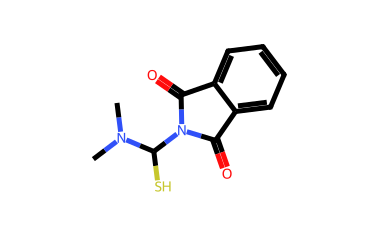 CN(C)C(S)N1C(=O)c2ccccc2C1=O